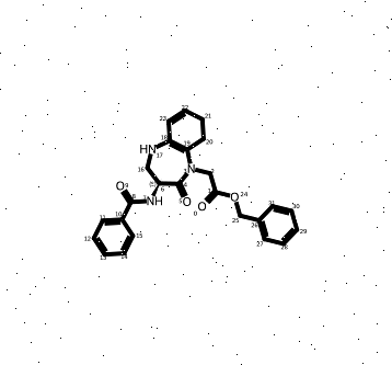 O=C(CN1C(=O)[C@@H](NC(=O)c2ccccc2)CNC2=C1CCC=C2)OCc1ccccc1